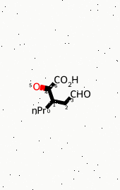 CCCC(CC=O)C(=O)C(=O)O